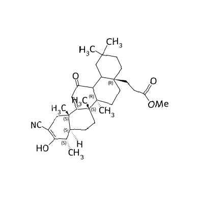 COC(=O)CC[C@]12CCC(C)(C)CC1C1C(=O)C=C3[C@@]4(C)CC(C#N)=C(O)[C@@H](C)[C@@H]4CC[C@@]3(C)[C@]1(C)CC2